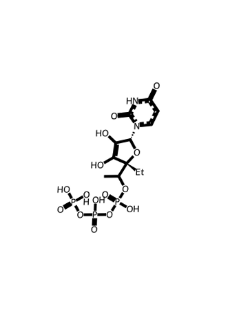 CC[C@]1(C(C)OP(=O)(O)OP(=O)(O)OP(=O)(O)O)O[C@@H](n2ccc(=O)[nH]c2=O)C(O)=C1O